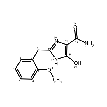 COc1ccccc1Cc1nc(C(N)=O)c(O)[nH]1